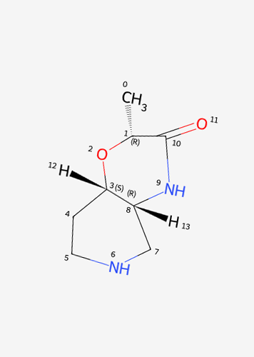 C[C@H]1O[C@H]2CCNC[C@H]2NC1=O